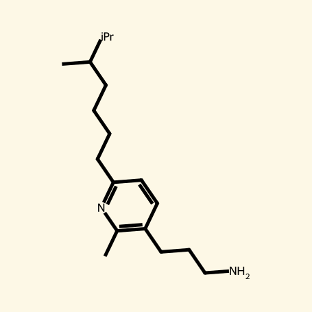 Cc1nc(CCCCC(C)C(C)C)ccc1CCCN